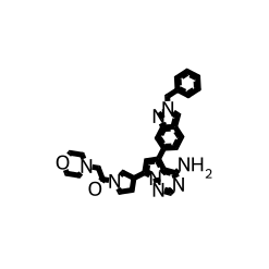 Nc1ncnn2c(C3CCN(C(=O)CN4CCOCC4)C3)cc(-c3ccc4cn(Cc5ccccc5)nc4c3)c12